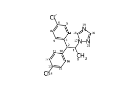 CC(C(c1ccc(Cl)cc1)c1ccc(Cl)cc1)n1cncn1